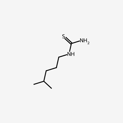 CC(C)CCCNC(N)=S